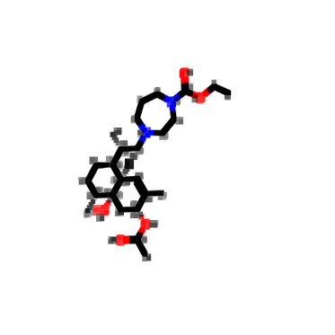 CCOC(=O)N1CCCN(C[C@@H](C)[C@@H]2CC[C@@H](C)[C@]3(O)[C][C@@H](OC(C)=O)C(C)=C[C@H]23)CC1